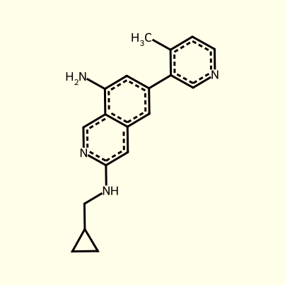 Cc1ccncc1-c1cc(N)c2cnc(NCC3CC3)cc2c1